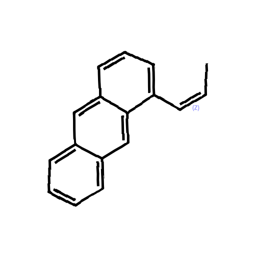 C/C=C\c1cccc2cc3ccccc3cc12